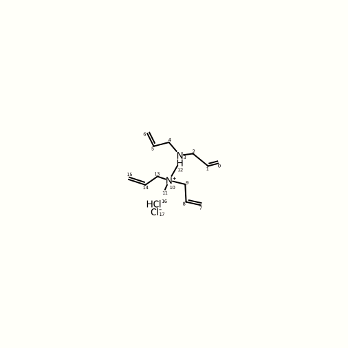 C=CCNCC=C.C=CC[N+](C)(C)CC=C.Cl.[Cl-]